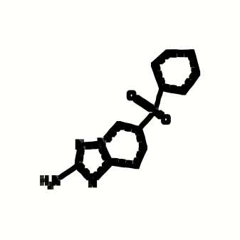 Nc1nc2ccc(S(=O)(=O)c3ccccc3)cn2n1